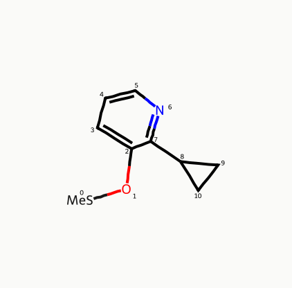 CSOc1cccnc1C1CC1